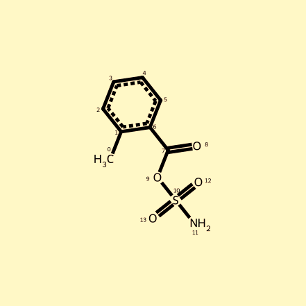 Cc1ccccc1C(=O)OS(N)(=O)=O